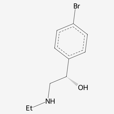 CCNC[C@@H](O)c1ccc(Br)cc1